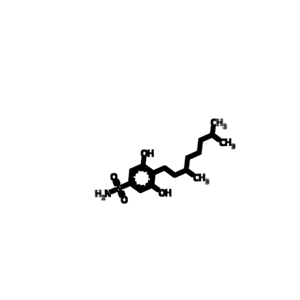 CC(C)CCCC(C)CCc1c(O)cc(S(N)(=O)=O)cc1O